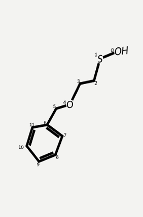 OSCCOCc1ccccc1